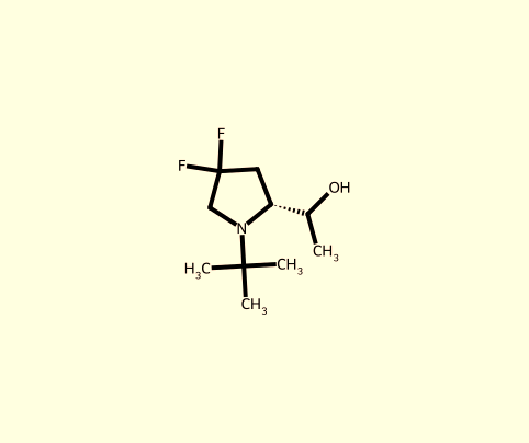 CC(O)[C@H]1CC(F)(F)CN1C(C)(C)C